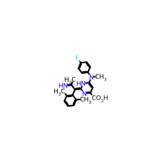 CC(=N)/C(=C1/N=C(C(=O)O)C=C(N(C)c2ccc(F)cc2)N1)c1c(C)cccc1C